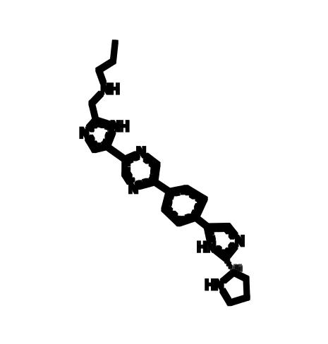 CCCNCc1ncc(-c2cnc(-c3ccc(-c4cnc([C@@H]5CCCN5)[nH]4)cc3)cn2)[nH]1